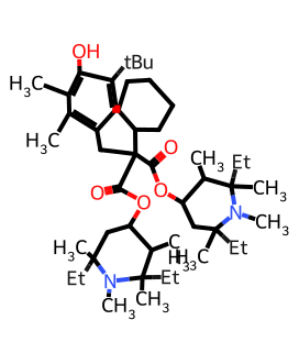 CCC1(C)CC(OC(=O)C(Cc2cc(C(C)(C)C)c(O)c(C)c2C)(C(=O)OC2CC(C)(CC)N(C)C(C)(CC)C2C)C2CCCCC2)C(C)C(C)(CC)N1C